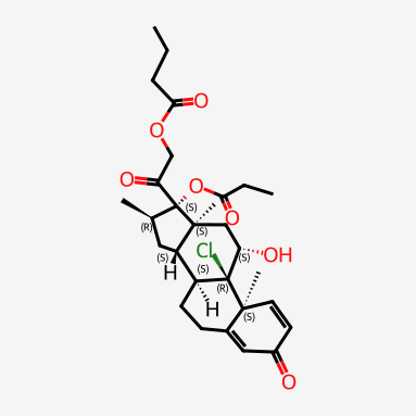 CCCC(=O)OCC(=O)[C@]1(OC(=O)CC)[C@H](C)C[C@H]2[C@@H]3CCC4=CC(=O)C=C[C@]4(C)[C@@]3(Cl)[C@@H](O)C[C@@]21C